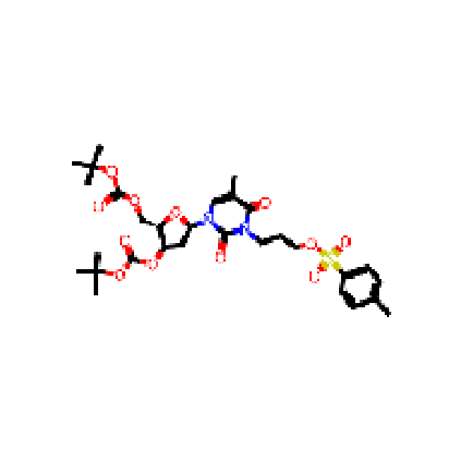 Cc1ccc(S(=O)(=O)OCCCn2c(=O)c(C)cn(C3CC(OC(=O)OC(C)(C)C)[C@@H](COC(=O)OC(C)(C)C)O3)c2=O)cc1